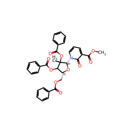 COC(=O)c1cccn([C@@H]2O[C@H](COC(=O)c3ccccc3)C(OC(=O)c3ccccc3)C2(C)OC(=O)c2ccccc2)c1=O